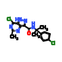 Cc1nc(Cl)c2[nH]nc(C(=O)NC(C)(C)c3ccc(Cl)cc3)c2n1